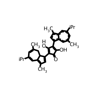 CC1=CC(C(C)C)=CC2=C(C)C=C(C3=C(O)C(c4cc(C)c5cc(C(C)C)cc(C)cc4-5)=C(O)C3=O)C2C1